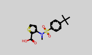 CN(c1ccsc1C(=O)O)S(=O)(=O)c1ccc(C(C)(C)C)cc1